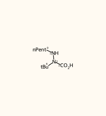 CCCCCNN(C(=O)O)C(C)(C)C